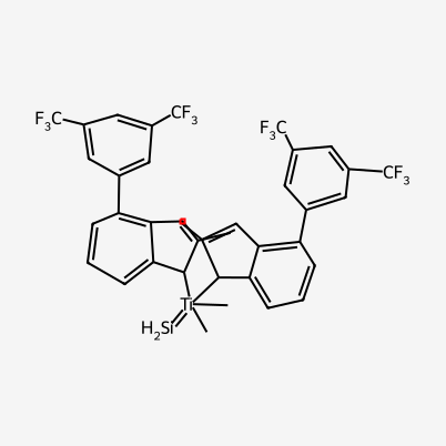 CC1=Cc2c(-c3cc(C(F)(F)F)cc(C(F)(F)F)c3)cccc2[CH]1[Ti]([CH3])([CH3])(=[SiH2])[CH]1C(C)=Cc2c(-c3cc(C(F)(F)F)cc(C(F)(F)F)c3)cccc21